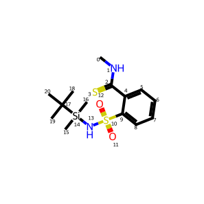 CNC(=S)c1ccccc1S(=O)(=O)N[Si](C)(C)C(C)(C)C